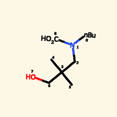 CCCCN(CC(C)(C)CO)C(=O)O